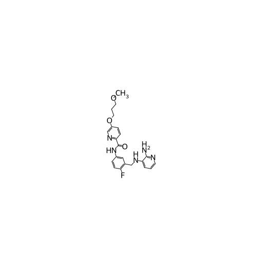 COCCCOc1ccc(C(=O)Nc2ccc(F)c(CNc3cccnc3N)c2)nc1